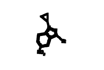 CCc1nn(C2CC2)c2ccc([N+](=O)[O-])cc12